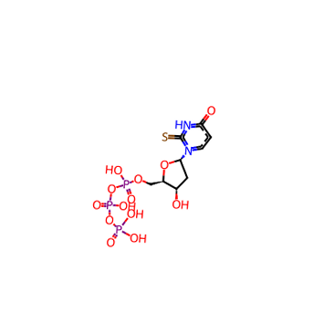 O=c1ccn([C@H]2C[C@@H](O)[C@@H](COP(=O)(O)OP(=O)(O)OP(=O)(O)O)O2)c(=S)[nH]1